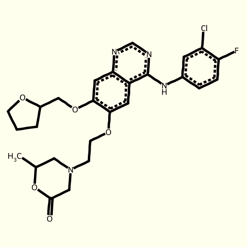 CC1CN(CCOc2cc3c(Nc4ccc(F)c(Cl)c4)ncnc3cc2OCC2CCCO2)CC(=O)O1